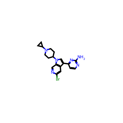 Nc1nccc(-c2cn(C3CCN(C4CC4)CC3)c3cnc(Br)cc23)n1